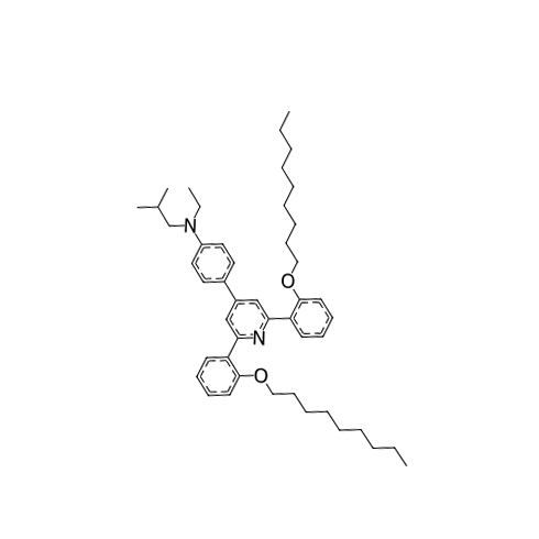 CCCCCCCCCOc1ccccc1-c1cc(-c2ccc(N(CC)CC(C)C)cc2)cc(-c2ccccc2OCCCCCCCCC)n1